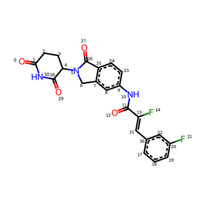 O=C1CCC(N2Cc3cc(NC(=O)/C(F)=C/c4cccc(F)c4)ccc3C2=O)C(=O)N1